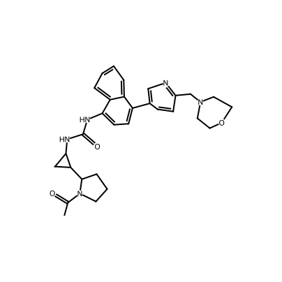 CC(=O)N1CCCC1C1CC1NC(=O)Nc1ccc(-c2ccc(CN3CCOCC3)nc2)c2ccccc12